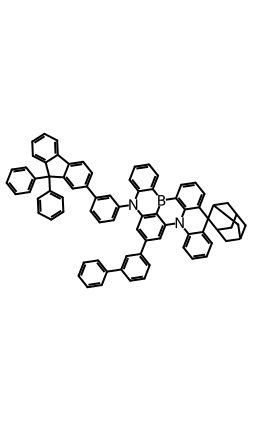 c1ccc(-c2cccc(-c3cc4c5c(c3)N3c6ccccc6C6(c7cccc(c73)B5c3ccccc3N4c3cccc(-c4ccc5c(c4)C(c4ccccc4)(c4ccccc4)c4ccccc4-5)c3)C3CC4CC(C3)CC6C4)c2)cc1